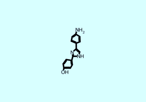 Nc1ccc(-c2c[nH]c(-c3ccc(O)cc3)n2)cc1